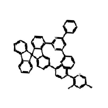 Cc1cnc(-c2ccc(-c3ccc4c(c3)-c3c(-c5nc(-c6ccccc6)cc(-c6ccccc6)n5)cccc3C43c4ccccc4-c4ccccc43)cc2)c(C)c1